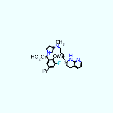 COc1c(F)cc(C(C)C)cc1[C@H](C(=O)O)N1CC[C@@H](N(C)CCCC[C@H]2CCc3cccnc3N2)C1